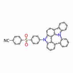 N#Cc1ccc(S(=O)(=O)c2ccc(-n3c4cccc5c6ccccc6n6c7ccccc7c7ccc3c(c54)c76)cc2)cc1